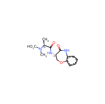 C[C@@H](C(=O)N[C@H]1COc2ccccc2NC1=O)N(C)C(=O)O